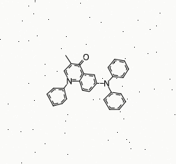 Cc1cn(-c2ccccc2)c2ccc(N(c3ccccc3)c3ccccc3)cc2c1=O